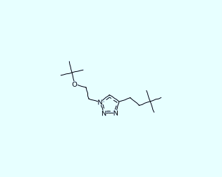 CC(C)(C)CCc1cn(CCOC(C)(C)C)nn1